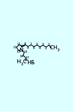 CCCCCCCCCC=C1CCCN1CCCC.F